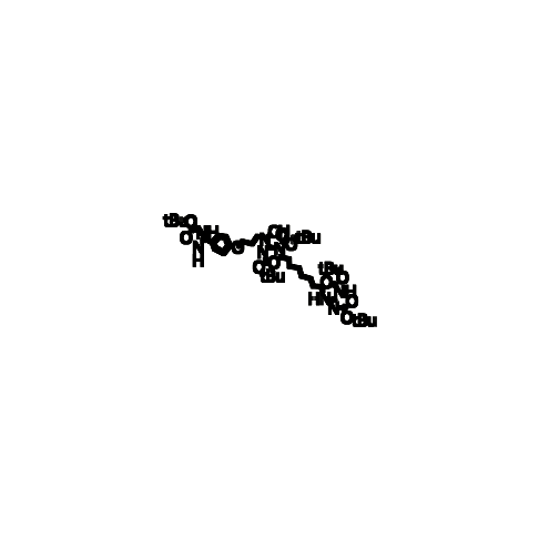 CN(CCCOc1ccc(C(=N)NC(=O)OC(C)(C)C)cc1)/C(=N/C(=O)OC(C)(C)C)N(CCCCCCCCN/C(=N/C(=O)OC(C)(C)C)NC(=O)OC(C)(C)C)C(=O)OC(C)(C)C